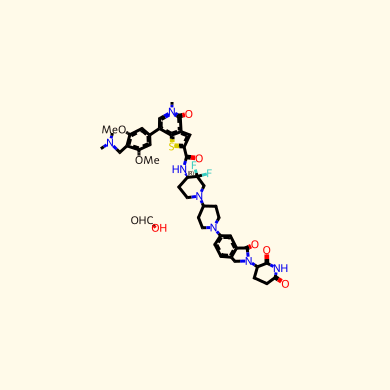 COc1cc(-c2cn(C)c(=O)c3cc(C(=O)N[C@@H]4CCN(C5CCN(c6ccc7c(c6)C(=O)N(C6CCC(=O)NC6=O)C7)CC5)CC4(F)F)sc23)cc(OC)c1CN(C)C.O=CO